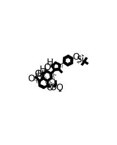 COC(=O)C[C@H]1[C@]2(C)C3=C(C)[C@@H](c4ccc(O[Si](C)(C)C(C)(C)C)cc4)C[C@H]3O[C@@H]2[C@@H]2OC(=O)[C@]3(C)C=CC(=O)[C@@]1(C)[C@@H]23